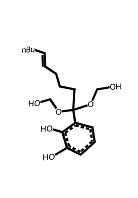 CCCCC=CCCCC(OCO)(OCO)c1cccc(O)c1O